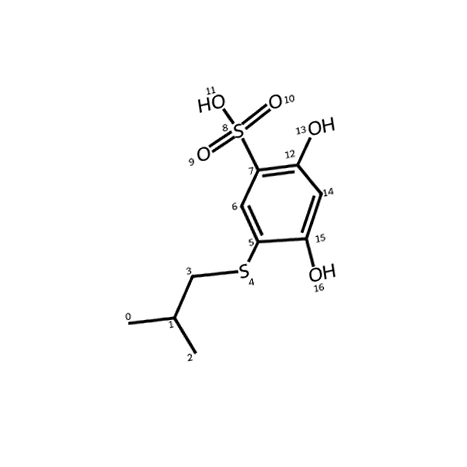 CC(C)CSc1cc(S(=O)(=O)O)c(O)cc1O